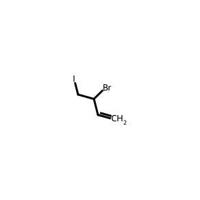 C=CC(Br)CI